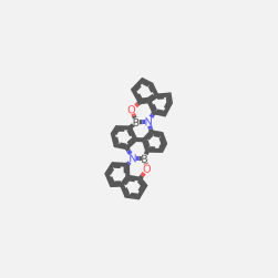 c1cc2c3c(c1)N1B(Oc4cccc5cccc1c45)c1cccc(c1-3)N1B2Oc2cccc3cccc1c23